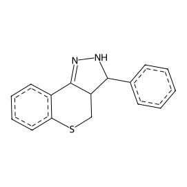 c1ccc(C2NN=C3c4ccccc4SCC32)cc1